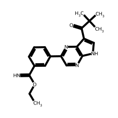 CCOC(=N)c1cccc(-c2cnc3[nH]cc(C(=O)C(C)(C)C)c3n2)c1